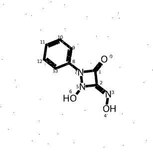 O=C1C(=NO)N(O)N1c1ccccc1